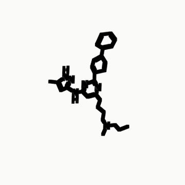 CCCN(C)CCCCc1cc(Nc2cc(C)[nH]n2)nc(-c2ccc(-c3ccccc3)cc2)n1